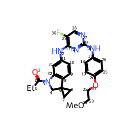 CCC(=O)N1CC2(CC2)c2ccc(Nc3nc(Nc4ccc(OCCOC)cc4)ncc3F)cc21